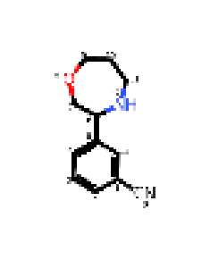 N#Cc1cccc(C2COCCCN2)c1